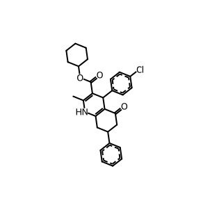 CC1=C(C(=O)OC2CCCCC2)C(c2ccc(Cl)cc2)C2=C(CC(c3ccccc3)CC2=O)N1